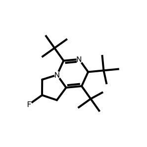 CC(C)(C)C1=NC(C(C)(C)C)C(C(C)(C)C)=C2CC(F)CN12